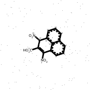 O=C(O)C1=C([N+](=O)[O-])c2cccc3cccc(c23)C1[N+](=O)[O-]